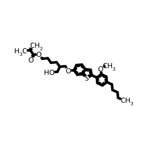 C=C(C)C(=O)OCCCCC(CO)COc1ccc2cc(-c3ccc(CCCCC)cc3OC)sc2c1